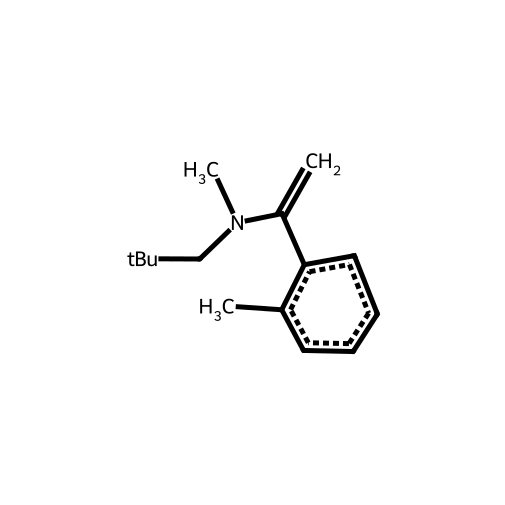 C=C(c1ccccc1C)N(C)CC(C)(C)C